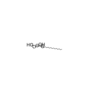 CCCCCCCCCCCCCCOCC(O)COc1cccc(O)c1